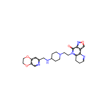 O=c1c2nocc2c2c(n1CCN1CCC(NCc3cc4c(cn3)OCCO4)CC1)CCC=N2